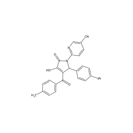 Cc1ccc(C(=O)C2=C(O)C(=O)N(c3ccc(C#N)cn3)C2c2ccc(C(C)C)cc2)cc1